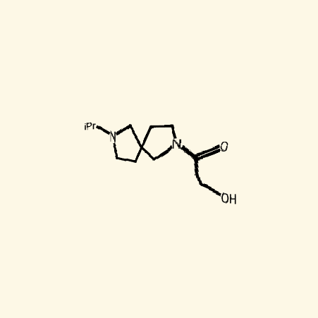 CC(C)N1CCC2(CCN(C(=O)CO)C2)C1